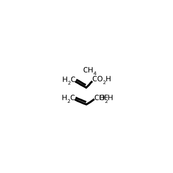 C.C=CC(=O)O.C=CC(=O)O.F